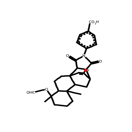 CC(C)C1=CC23CCC4C(C)(OC=O)CCCC4(C)C2CC1C1C(=O)N(c2ccc(C(=O)O)cc2)C(=O)C13